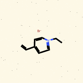 C=Cc1cc[n+](CC)cc1.[Br-]